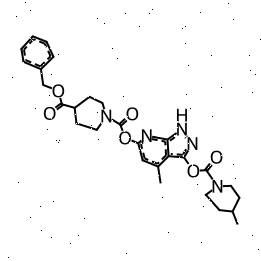 Cc1cc(OC(=O)N2CCC(C(=O)OCc3ccccc3)CC2)nc2[nH]nc(OC(=O)N3CCC(C)CC3)c12